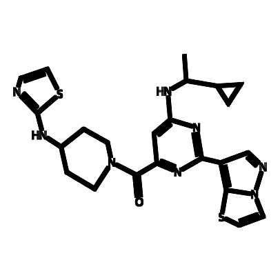 CC(Nc1cc(C(=O)N2CCC(Nc3nccs3)CC2)nc(-c2cnn3ccsc23)n1)C1CC1